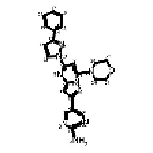 Nc1ncc(-c2cc3nc(-n4ccc(-c5ccccc5)n4)cc(N4CCOCC4)n3n2)cn1